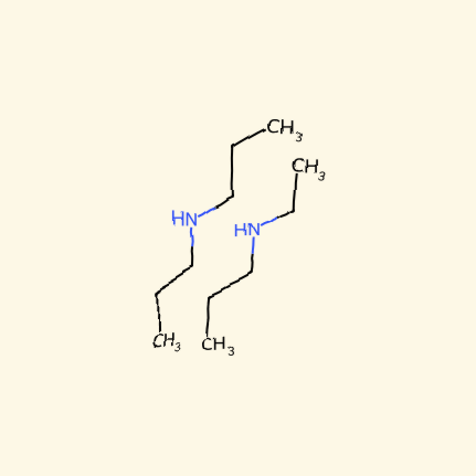 CCCNCC.CCCNCCC